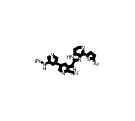 CC(=O)c1ccc(-c2nccc3[nH]c(-c4n[nH]c5ncc(-c6cncc(NC(C)C)c6)cc45)nc23)s1